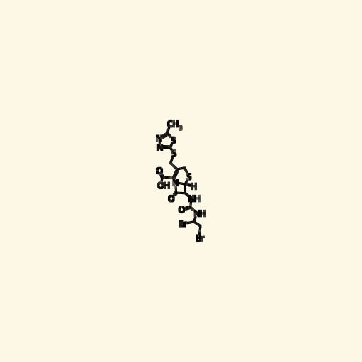 Cc1nnc(SCC2=C(C(=O)O)N3C(=O)C(NC(=O)NC(Br)CBr)[C@H]3SC2)s1